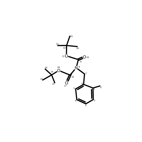 Cc1ccccc1CN(C(=O)OC(C)(C)C)C(=O)OC(C)(C)C